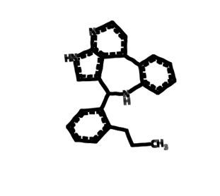 CCCc1ccccc1C1Nc2ccccc2-c2ccnc3[nH]cc1c23